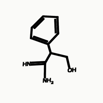 N=C(N)C(CO)c1ccccc1